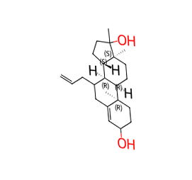 C=CCC1CC2=CC(O)CC[C@]2(C)[C@@H]2CC[C@@]3(C)[C@@H](CCC3(C)O)[C@H]12